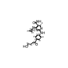 NC(=O)c1cnc(Nc2ccc(C(=O)CCCO)cc2)nc1NC1CC1